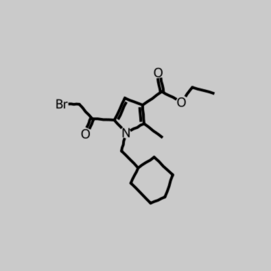 CCOC(=O)c1cc(C(=O)CBr)n(CC2CCCCC2)c1C